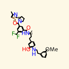 COc1cccc(CCNc2ccc(CC[C@H](C)NC(=O)c3cc(C(=O)N4CCC[C@@H]4c4nc(C)cs4)cc(C(F)F)c3)cc2O)c1